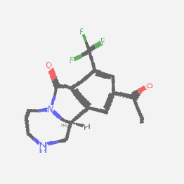 CC(=O)c1cc2c(c(C(F)(F)F)c1)C(=O)N1CCNC[C@@H]21